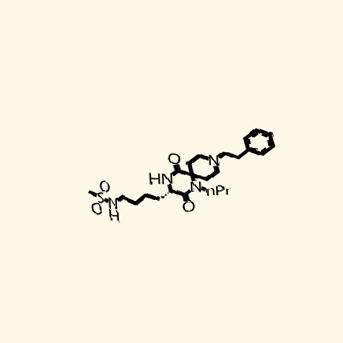 CCCN1C(=O)[C@H](CCCCNS(C)(=O)=O)NC(=O)C12CCN(CCc1ccccc1)CC2